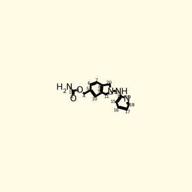 NC(=O)OCc1ccc2c(c1)CN(Nc1ccccn1)C2